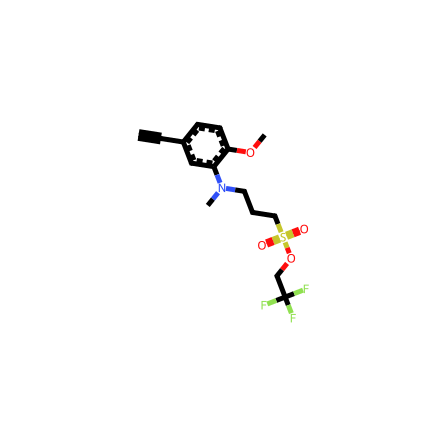 C#Cc1ccc(OC)c(N(C)CCCS(=O)(=O)OCC(F)(F)F)c1